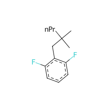 CCCC(C)(C)Cc1c(F)cccc1F